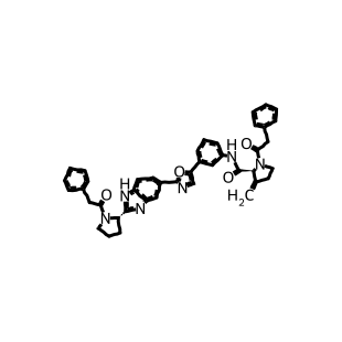 C=C1CCN(C(=O)Cc2ccccc2)[C@@H]1C(=O)Nc1cccc(-c2cnc(-c3ccc4[nH]c([C@@H]5CCCN5C(=O)Cc5ccccc5)nc4c3)o2)c1